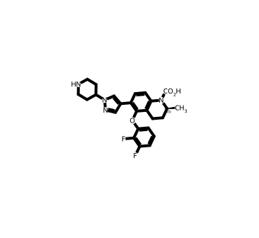 C[C@H]1CCc2c(ccc(-c3cnn(C4CCNCC4)c3)c2Oc2cccc(F)c2F)N1C(=O)O